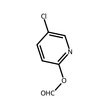 O=COc1ccc(Cl)cn1